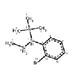 C[Si](C)(C)[SiH]([SiH2][SiH3])c1ccccc1Br